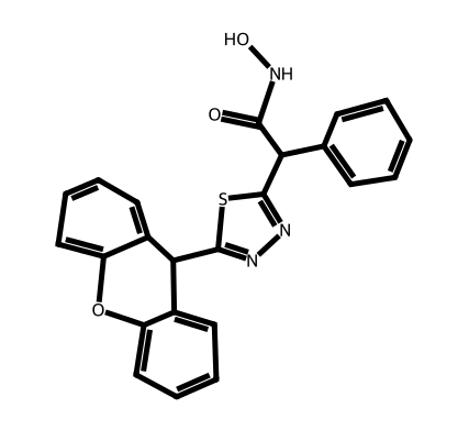 O=C(NO)C(c1ccccc1)c1nnc(C2c3ccccc3Oc3ccccc32)s1